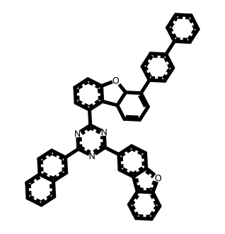 C1=CC2c3c(cccc3-c3nc(-c4ccc5ccccc5c4)nc(-c4ccc5oc6ccccc6c5c4)n3)OC2C(c2ccc(-c3ccccc3)cc2)=C1